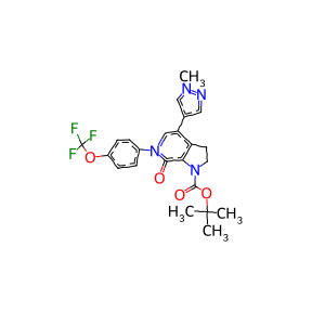 Cn1cc(-c2cn(-c3ccc(OC(F)(F)F)cc3)c(=O)c3c2CCN3C(=O)OC(C)(C)C)cn1